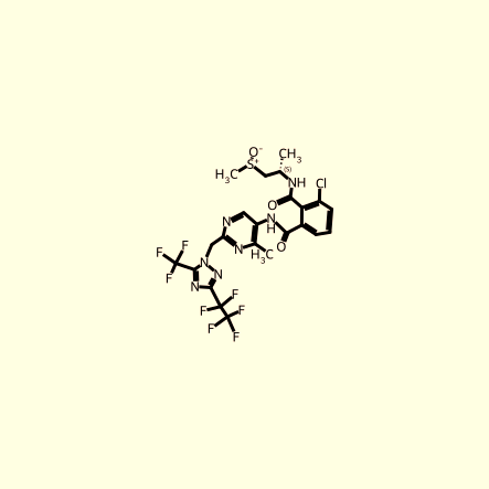 Cc1nc(Cn2nc(C(F)(F)C(F)(F)F)nc2C(F)(F)F)ncc1NC(=O)c1cccc(Cl)c1C(=O)N[C@@H](C)C[S+](C)[O-]